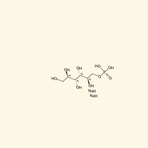 O=P(O)(O)OC[C@@H](O)[C@@H](O)[C@H](O)[C@H](O)CO.[NaH].[NaH]